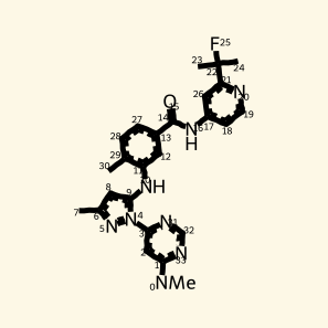 CNc1cc(-n2nc(C)cc2Nc2cc(C(=O)Nc3ccnc(C(C)(C)F)c3)ccc2C)ncn1